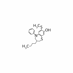 CCCCC1CSc2cc(O)c(SC)cc2N(c2ccccc2)C1